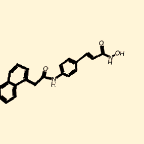 O=C(C=Cc1ccc(NC(=O)Cc2cccc3ccccc23)cc1)NO